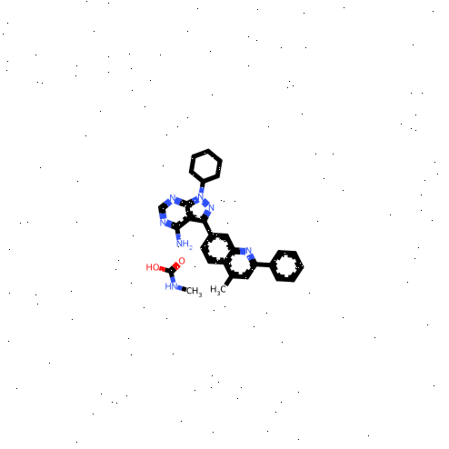 CNC(=O)O.Cc1cc(-c2ccccc2)nc2cc(-c3nn(C4CCCCC4)c4ncnc(N)c34)ccc12